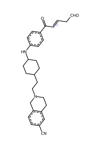 N#Cc1ccc2c(c1)CCN(CCC1CCC(Nc3ccc(C(=O)/C=C/CC=O)cc3)CC1)C2